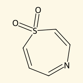 O=S1(=O)C=CC=NC=C1